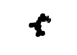 CC1(C)c2ccccc2-c2ccc(-c3ccc(N(c4ccc(-c5ccccc5)cc4)c4cccc5c(-c6ccc7c(c6)c6ccccc6n7-c6ccccc6)cccc45)cc3)cc21